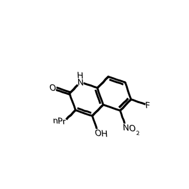 CCCc1c(O)c2c([N+](=O)[O-])c(F)ccc2[nH]c1=O